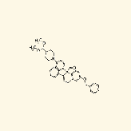 COC(OC)C1CCN(c2ccc(C3(C=O)C(c4ccccc4)=CCc4cc(OCc5ccccc5)ccc43)cc2)CC1